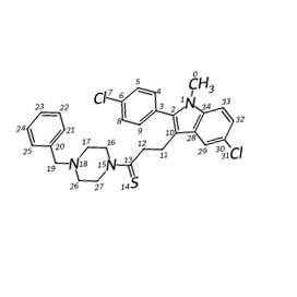 Cn1c(-c2ccc(Cl)cc2)c(CCC(=S)N2CCN(Cc3ccccc3)CC2)c2cc(Cl)ccc21